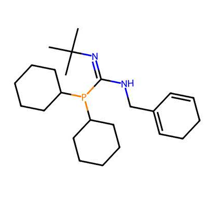 CC(C)(C)/N=C(/NCC1=CCCC=C1)P(C1CCCCC1)C1CCCCC1